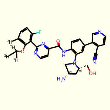 [2H]c1ccc(F)c(-c2nccc(C(=O)Nc3ccc(-c4cnccc4C#N)cc3N3C[C@@H](N)C[C@H]3CO)n2)c1OC([2H])([2H])[2H]